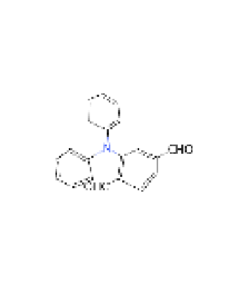 O=Cc1ccc(C=O)c(N(c2ccccc2)c2ccccc2)c1